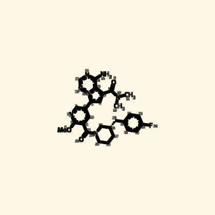 COc1ncc(-c2cc(C(=O)N(C)C)c3c(N)ncnn23)cc1C(=O)N1CCC[C@@H](Cc2ccc(F)cc2)C1